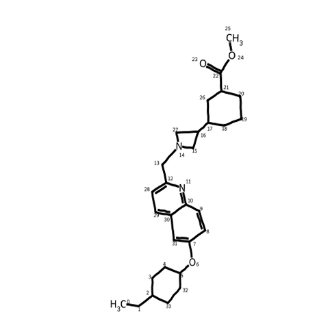 CCC1CCC(Oc2ccc3nc(CN4CC(C5CCCC(C(=O)OC)C5)C4)ccc3c2)CC1